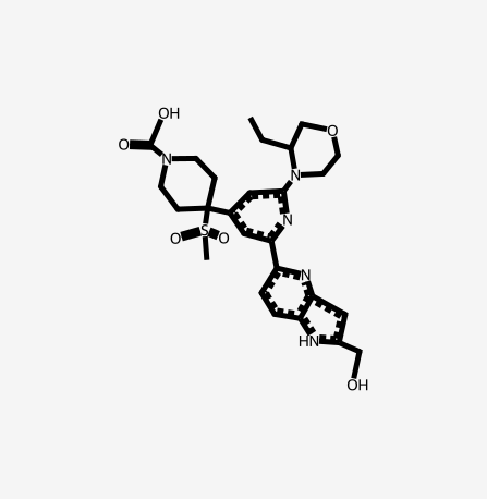 CCC1COCCN1c1cc(C2(S(C)(=O)=O)CCN(C(=O)O)CC2)cc(-c2ccc3[nH]c(CO)cc3n2)n1